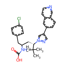 CC(C)(C)[C@H](CC(Cc1ccc(Cl)cc1)NC(=O)O)n1cc(-c2ccc3cnccc3c2)cn1